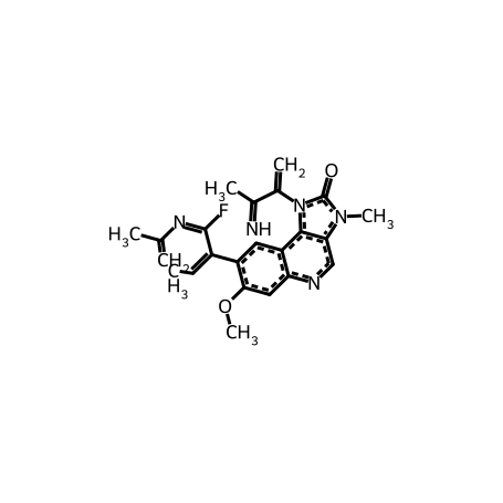 C=C(C)/N=C(F)\C(=C/C)c1cc2c(cc1OC)ncc1c2n(C(=C)C(C)=N)c(=O)n1C